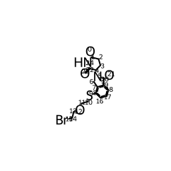 O=C1CCC(N2Cc3c(SCCOCCBr)cccc3C2=O)C(=O)N1